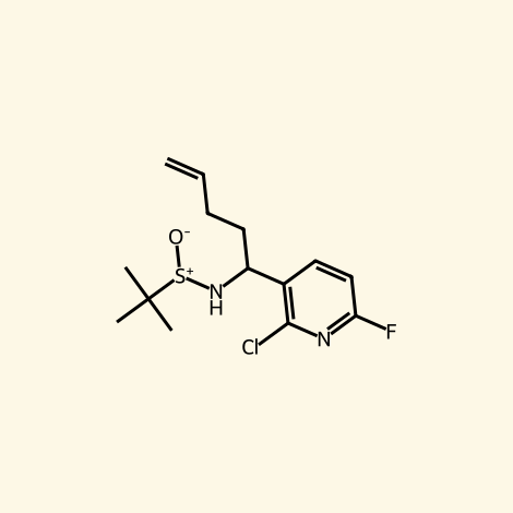 C=CCCC(N[S+]([O-])C(C)(C)C)c1ccc(F)nc1Cl